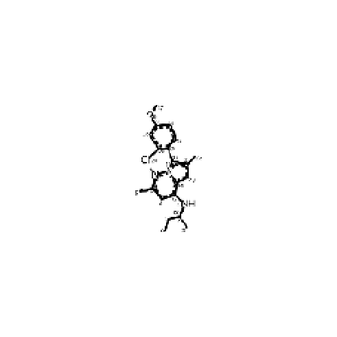 CC[C@H](C)Nc1cc(C)nn2c(-c3ccc(OC)cc3Cl)c(C)cc12